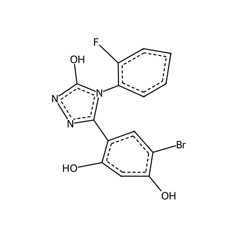 Oc1cc(O)c(-c2nnc(O)n2-c2ccccc2F)cc1Br